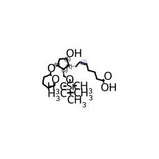 CC(C)(C)[Si](C)(C)OC[C@@H]1[C@@H](C/C=C\CCCC(=O)O)[C@@H](O)C[C@H]1OC1CCCCO1